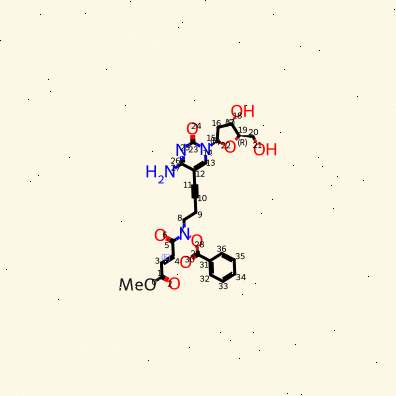 COC(=O)/C=C/C(=O)N(CCC#Cc1cn([C@H]2C[C@H](O)[C@@H](CO)O2)c(=O)nc1N)OC(=O)c1ccccc1